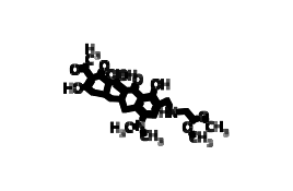 COC(CNCc1cc(N(C)C)c2c(c1O)C(=O)C1=C(O)C3(O)C(=O)C(C(C)=O)=C(O)CC3CC1C2)OC